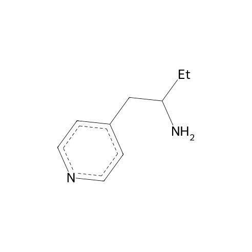 CCC(N)Cc1ccncc1